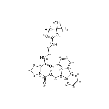 CC(C)(C)OC(=O)NCCNC(=O)C1CCCN1C(=O)OCC1c2ccccc2-c2ccccc21